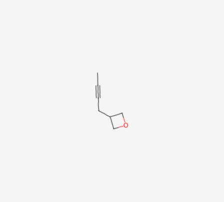 CC#CCC1COC1